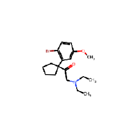 CCN(CC)CC(=O)C1(c2cc(OC)ccc2Br)CCCC1